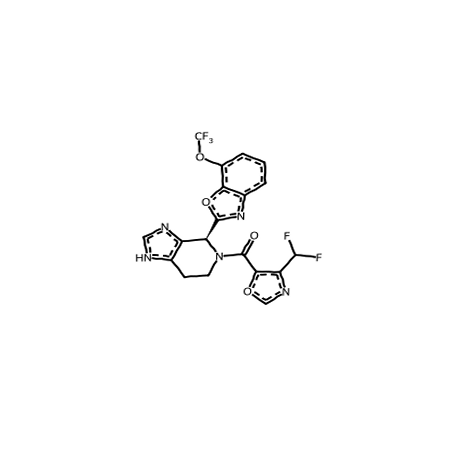 O=C(c1ocnc1C(F)F)N1CCc2[nH]cnc2[C@H]1c1nc2cccc(OC(F)(F)F)c2o1